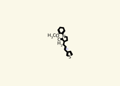 C=C1C(C/C=C/c2ccsc2)CCN1C1=CCCC=C1OC